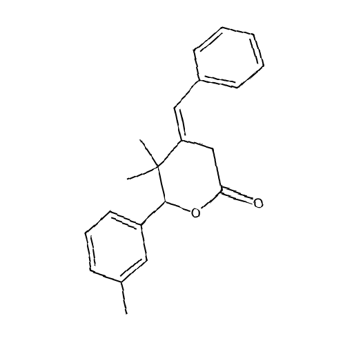 Cc1cccc(C2OC(=O)C/C(=C\c3ccccc3)C2(C)C)c1